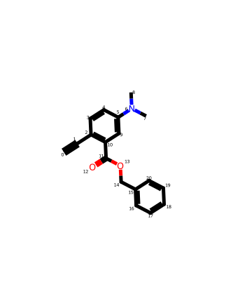 C#Cc1ccc(N(C)C)cc1C(=O)OCc1ccccc1